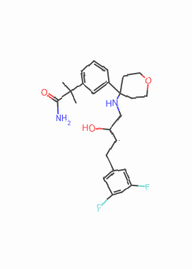 CC(C)(C(N)=O)c1cccc(C2(NCC(O)[CH]Cc3cc(F)cc(F)c3)CCOCC2)c1